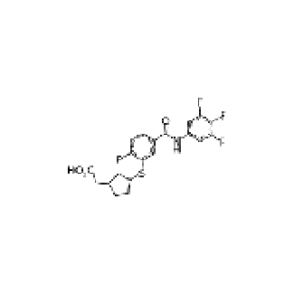 O=C(O)CC1CCC(Sc2cc(C(=O)Nc3cc(F)c(F)c(F)c3)ccc2F)C1